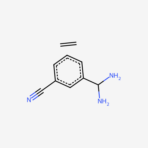 C=C.N#Cc1cccc(C(N)N)c1